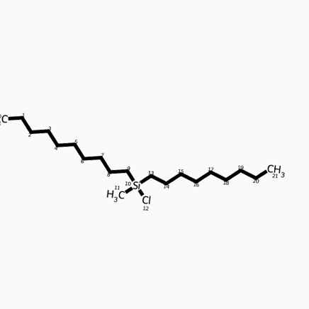 CCCCCCCCCC[Si](C)(Cl)CCCCCCCCC